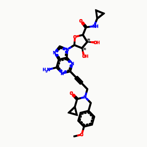 COc1ccc(CN(CC#Cc2nc(N)c3ncn(C4OC(C(=O)NC5CC5)[C@@H](O)[C@H]4O)c3n2)C(=O)C2CC2)cc1